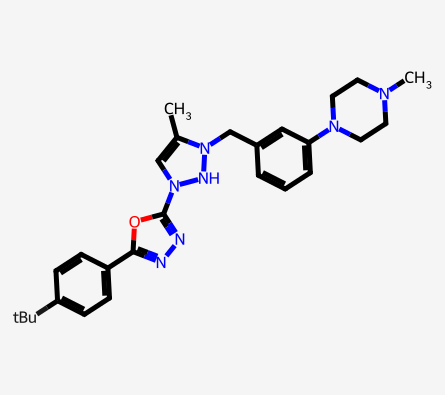 CC1=CN(c2nnc(-c3ccc(C(C)(C)C)cc3)o2)NN1Cc1cccc(N2CCN(C)CC2)c1